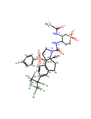 CC(=O)NC1CS(=O)(=O)CCC1NC(=O)N1CC[C@@]2(S(=O)(=O)c3ccc(F)cc3)c3ccc(C(F)(C(F)(F)F)C(F)(F)F)cc3CC[C@@H]12